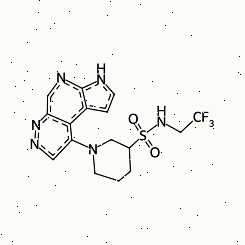 O=S(=O)(NCC(F)(F)F)C1CCCN(c2cnnc3cnc4[nH]ccc4c23)C1